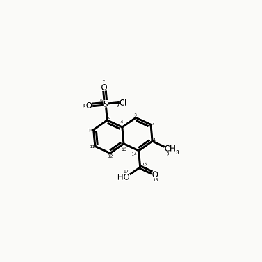 Cc1ccc2c(S(=O)(=O)Cl)cccc2c1C(=O)O